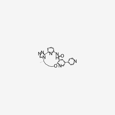 C[C@H]1CCCOc2ncc(-c3ccncc3)cc2C(=O)Nc2cccc(n2)-c2nncn21